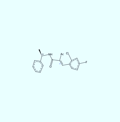 CC(=O)/C(=C\c1ccc(F)cc1Cl)C(=O)N[C@H](C)c1ccccc1